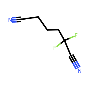 N#CCCCC(F)(F)C#N